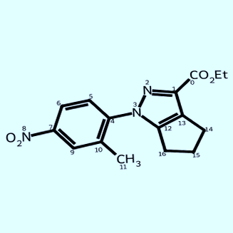 CCOC(=O)c1nn(-c2ccc([N+](=O)[O-])cc2C)c2c1CCC2